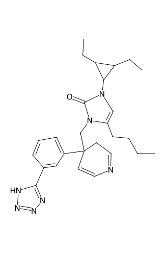 CCCCc1cn(C2C(CC)C2CC)c(=O)n1CC1(c2cccc(-c3nnn[nH]3)c2)C=CN=CC1